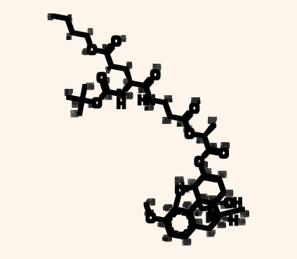 CCCCOC(=O)CC[C@H](NC(=O)OC(C)(C)C)C(=O)NCCC(=O)O[C@@H](C)C(=O)OC1=CC[C@@]2(O)[C@H]3Cc4ccc(OC)c5c4[C@@]2(CCN3C)[C@H]1O5